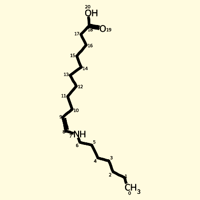 CCCCCCCN/C=C\CCCCCCCCC(=O)O